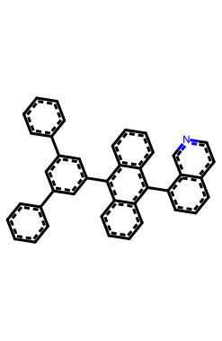 c1ccc(-c2cc(-c3ccccc3)cc(-c3c4ccccc4c(-c4cccc5ccncc45)c4ccccc34)c2)cc1